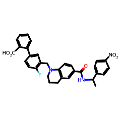 CC(NC(=O)c1ccc2c(c1)CCCN2Cc1cc(-c2ccccc2C(=O)O)ccc1F)c1ccc([N+](=O)[O-])cc1